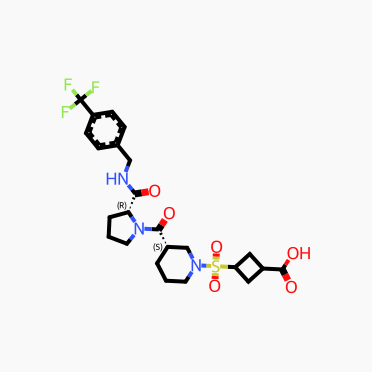 O=C(O)C1CC(S(=O)(=O)N2CCC[C@H](C(=O)N3CCC[C@@H]3C(=O)NCc3ccc(C(F)(F)F)cc3)C2)C1